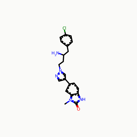 Cn1c(=O)[nH]c2ccc(-c3cnn(CCC(N)Cc4ccc(Cl)cc4)c3)cc21